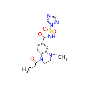 CCC(=O)N1CCN(CC)c2cc(C(=O)NS(=O)(=O)n3cncn3)ccc21